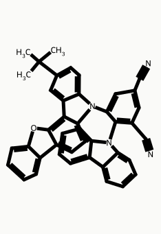 CC(C)(C)c1ccc2c(c1)c1c3oc4ccccc4c3ccc1n2-c1cc(C#N)cc(C#N)c1-n1c2ccccc2c2ccccc21